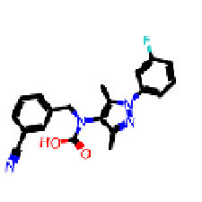 Cc1nn(-c2cccc(F)c2)c(C)c1N(Cc1cccc(C#N)c1)C(=O)O